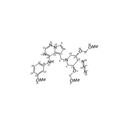 COCO[C@H]1CN(Cc2ccn3ncnc(Nc4cccc(OC)c4)c23)C[C@@H](OCOC)[C@@H]1N=[N+]=[N-]